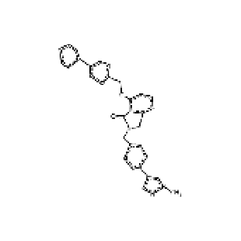 Cn1cc(-c2ccc(CN3Cc4cccc(OCc5ccc(-c6ccccc6)cc5)c4C3=O)cc2)cn1